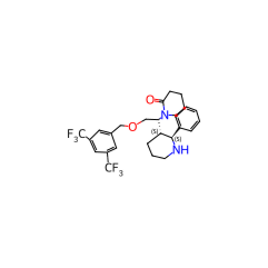 O=C1CCCCN1C(COCc1cc(C(F)(F)F)cc(C(F)(F)F)c1)[C@H]1CCCN[C@@H]1c1ccccc1